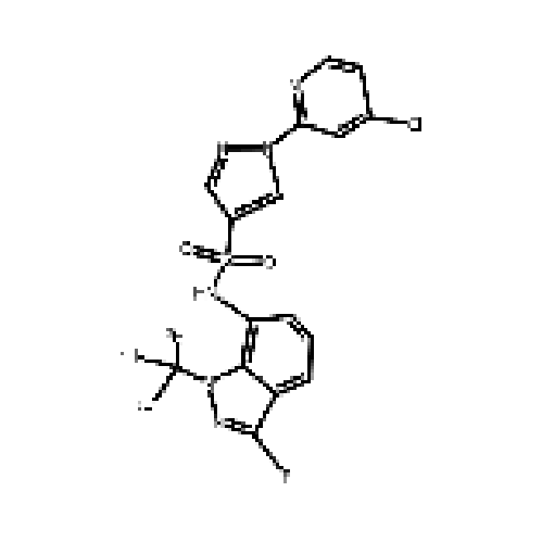 [2H]C([2H])([2H])n1nc(F)c2cccc(NS(=O)(=O)c3cnn(-c4cc(Cl)ccn4)c3)c21